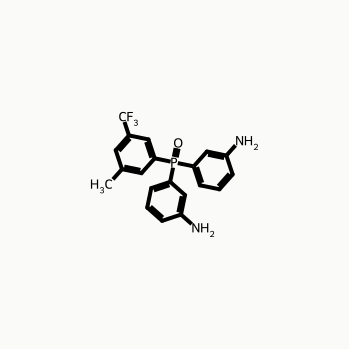 Cc1cc(C(F)(F)F)cc(P(=O)(c2cccc(N)c2)c2cccc(N)c2)c1